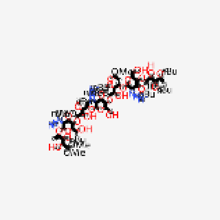 C=C(O[C@H]1OC(CO)[C@@H](O[C@H](OC)C(O)C(OCCCC)C(=C)O[C@H]2OC(CO)[C@@H](O[C@H](OC)C(O)C(OCCCC)[C@@H](CC(=O)OC)O[C@H]3OC(CO)[C@@H](O[C@H](OC)C(O)C(OCCCC)C(=C)OCCCC)C(OCCCC)C3N=[N+]=[N-])C(OCCCC)C2N=[N+]=[N-])C(OCCCC)C1N=[N+]=[N-])C(OCCCC)C(O)C(OC)OC